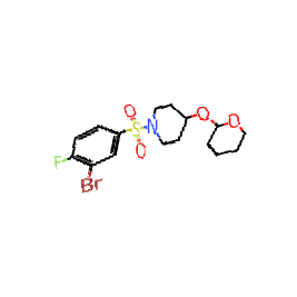 O=S(=O)(c1ccc(F)c(Br)c1)N1CCC(OC2CCCCO2)CC1